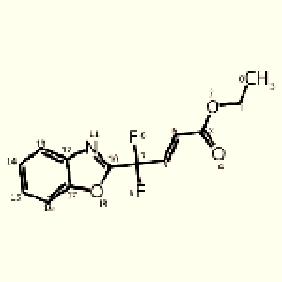 CCOC(=O)C=CC(F)(F)c1nc2ccccc2o1